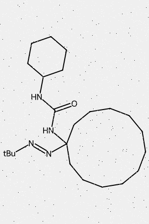 CC(C)(C)N=NC1(NC(=O)NC2CCCCC2)CCCCCCCCCCC1